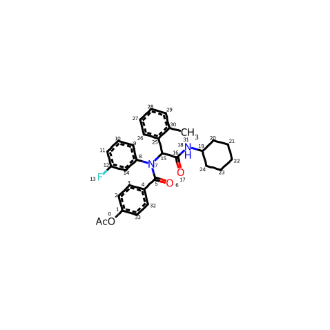 CC(=O)Oc1ccc(C(=O)N(c2cccc(F)c2)C(C(=O)NC2CCCCC2)c2ccccc2C)cc1